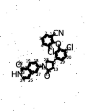 N#Cc1cccc(Cl)c1Oc1cc([C@H]2CC(=O)N(c3ccc4c(=O)[nH]ccc4c3)C2)ccc1Cl